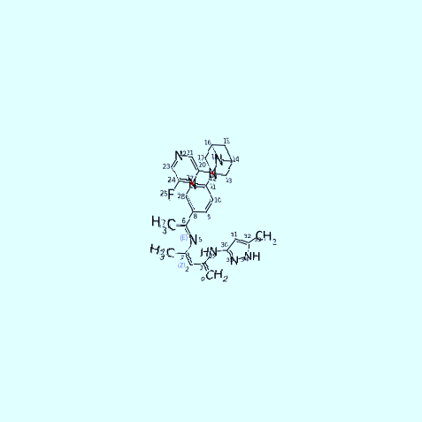 C=C(/C=C(C)\N=C(/C)c1ccc(N2CC3CC(C2)N3Cc2cncc(F)c2)nc1)Nc1cc(C)[nH]n1